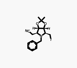 CC1(C)O[C@@H]2[C@H](O1)[C@@H](CI)N(Cc1ccccc1)[C@H]2CC#N